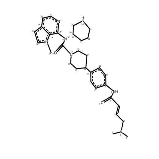 CN(C)CC=CC(=O)Nc1ccc(C2CCN(C(=O)N(c3nccc4ccn(C)c34)[C@H]3CCCNC3)CC2)cc1